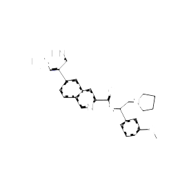 COc1cccc(C(CN2CCCC2)NC(=O)c2cc3cc(/C(C=N)=C/N)ccc3cn2)c1